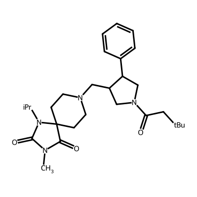 CC(C)N1C(=O)N(C)C(=O)C12CCN(CC1CN(C(=O)CC(C)(C)C)CC1c1ccccc1)CC2